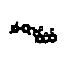 Cc1cc(-c2cn(C)nc2C)ccc1CN1Cc2ncnc(Oc3c(F)cccc3F)c2C1=O